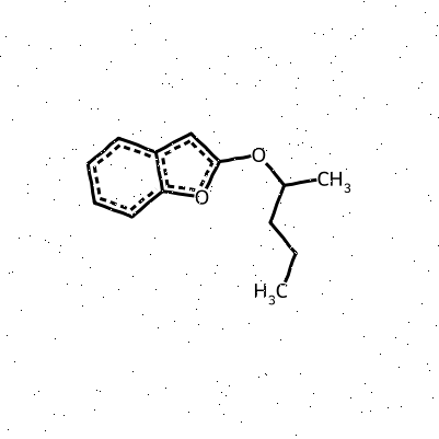 CCCC(C)Oc1cc2ccccc2o1